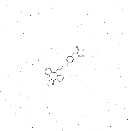 COC(Cc1ccc(OCCCN2c3ccccc3CC(=O)c3ccccc32)cc1)C(=O)O